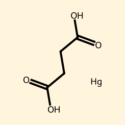 O=C(O)CCC(=O)O.[Hg]